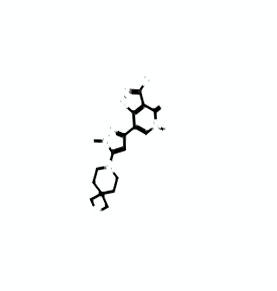 CCn1cc(-c2cc(N3CCC4(CC3)COC4)n(C)n2)c2[nH]nc(N)c2c1=O